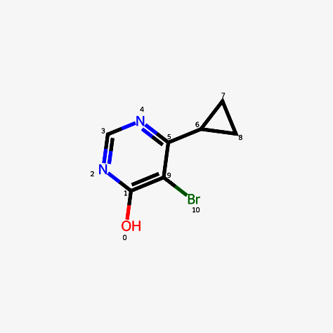 Oc1ncnc(C2CC2)c1Br